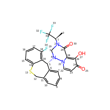 C[C@@H](N1CN([C@@H]2c3ccccc3CSc3cccc(F)c32)n2ccc(=O)c(O)c2C1=O)C(F)(F)F